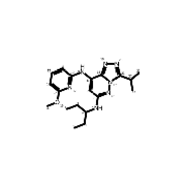 CCC(CC)Nc1cc(Nc2cccc(OC)n2)c2nnc(C(C)C)n2n1